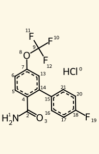 Cl.NC(=O)c1ccc(OC(F)(F)F)cc1-c1ccc(F)cc1